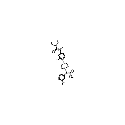 CCC(CC)C(=O)N(C)c1ccc(N2CCN(C(C(=O)OC)c3cccc(Cl)c3)CC2)c(F)c1